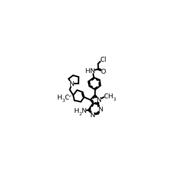 Cn1c(-c2ccc(NC(=O)CCl)cc2)c(C2=CC[C@](C)(CN3CCCC3)CC2)c2c(N)ncnc21